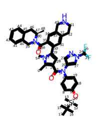 Cc1c(C(=O)N(c2ccc(O[Si](C)(C)C(C)(C)C)cc2)c2cnn(C(F)F)c2)cc(-c2cc3c(cc2C(=O)N2Cc4ccccc4C[C@H]2C)CNCC3)n1C